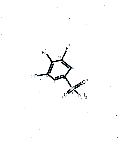 NS(=O)(=O)c1cc(F)c(Br)c(F)c1